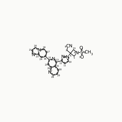 CS(=O)(=O)N1CC(CC#N)(n2ccc(-c3nc(-c4ccn5ccnc5c4)cc4ncccc34)n2)C1